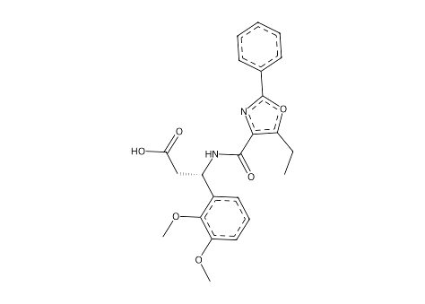 CCc1oc(-c2ccccc2)nc1C(=O)N[C@@H](CC(=O)O)c1cccc(OC)c1OC